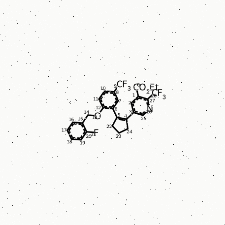 CCOC(=O)c1cc(C2=C(c3cc(C(F)(F)F)ccc3OCc3ccccc3F)CCC2)cnc1C(F)(F)F